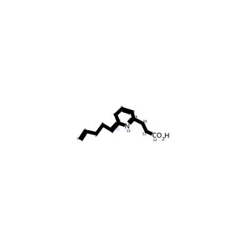 C=CCC/C=C1\CC=CC(CCC(=O)O)=N1